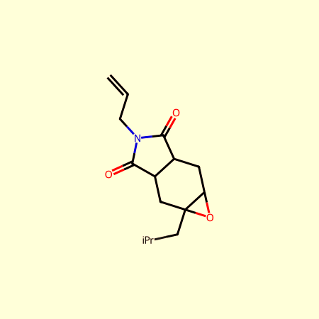 C=CCN1C(=O)C2CC3OC3(CC(C)C)CC2C1=O